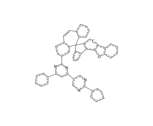 C1=Cc2ccc(-c3nc(-c4ccccc4)cc(-c4cnc(-c5ccccc5)nc4)n3)cc2C2(c3ccccc31)c1ccccc1-c1c2ccc2c1oc1ccccc12